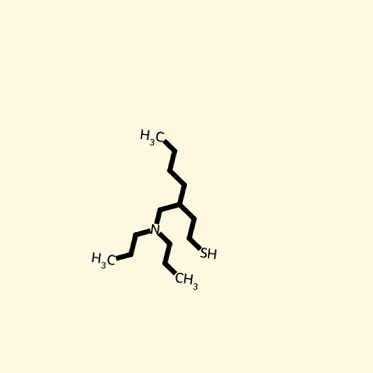 CCCCC(CCS)CN(CCC)CCC